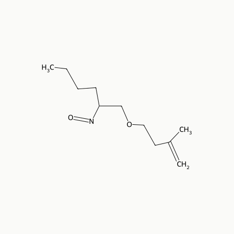 C=C(C)CCOCC(CCCC)N=O